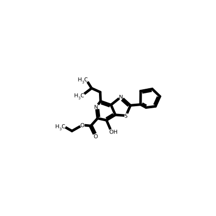 CCOC(=O)c1nc(CC(C)C)c2nc(-c3ccccc3)sc2c1O